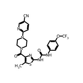 Cc1sc(NC(=O)Nc2ccc(OC(F)(F)F)cc2)nc1C(=O)N1CCN(c2ccc(C#N)cn2)CC1